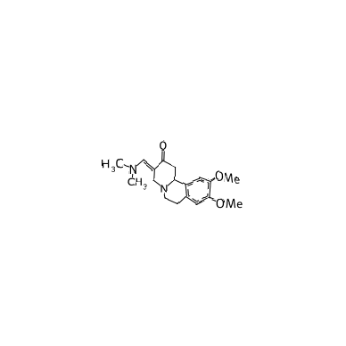 COc1cc2c(cc1OC)C1CC(=O)C(=CN(C)C)CN1CC2